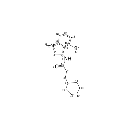 Cn1cc(NC(=O)CCC2CCCCC2)c2c(Br)cccc21